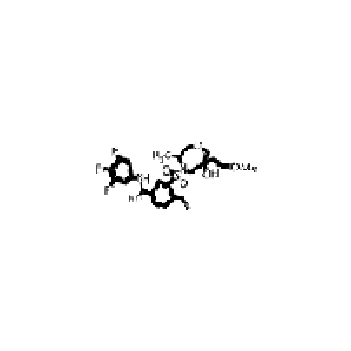 COCCC1(O)COCC(C)N(S(=O)(=O)c2cc(C(O)Nc3cc(F)c(F)c(F)c3)ccc2CF)C1